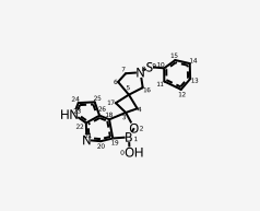 OB1OC2(CC3(CCN(Sc4ccccc4)C3)C2)c2c1cnc1[nH]ccc21